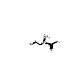 CCCCCCN(N)C(=S)CC